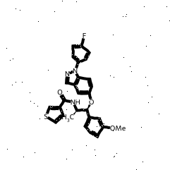 COc1cccc([C@H](Oc2ccc3c(cnn3-c3ccc(F)cc3)c2)[C@H](C)NC(=O)c2ccsc2)c1